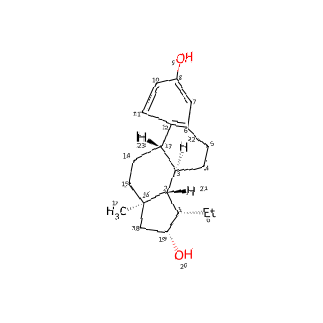 CC[C@H]1[C@H]2[C@@H]3CCc4cc(O)ccc4[C@H]3CC[C@]2(C)C[C@H]1O